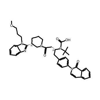 COCCCn1c([C@@H]2CCCN(C(=O)C[C@@H](Cc3ccc(-n4ccc5ccccc5c4=O)cc3)N(C(=O)O)C(C)(C)C)C2)nc2ccccc21